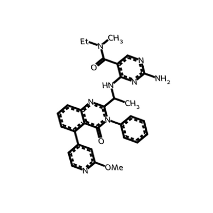 CCN(C)C(=O)c1cnc(N)nc1NC(C)c1nc2cccc(-c3ccnc(OC)c3)c2c(=O)n1-c1ccccc1